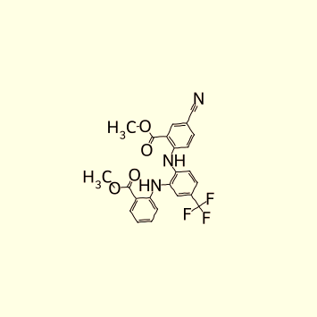 COC(=O)c1ccccc1Nc1cc(C(F)(F)F)ccc1Nc1ccc(C#N)cc1C(=O)OC